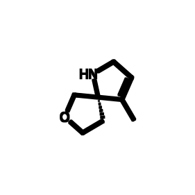 CC1=CCN[C@@]12CCOC2